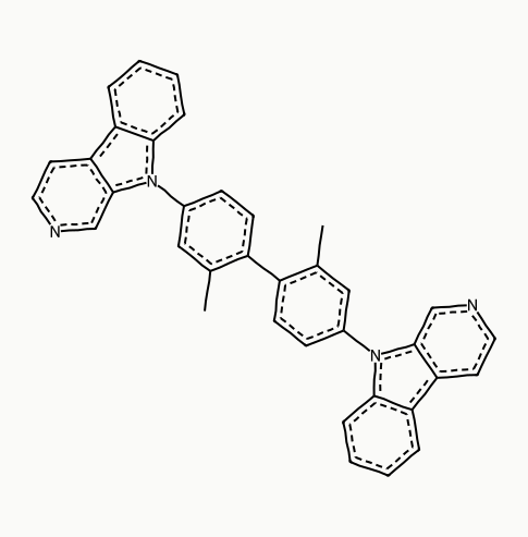 Cc1cc(-n2c3ccccc3c3ccncc32)ccc1-c1ccc(-n2c3ccccc3c3ccncc32)cc1C